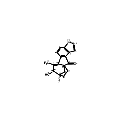 O=C1c2c(ccc3[nH]ncc23)C2=C(C(F)(F)F)[C@H](O)[C@@H]3CCC12C3